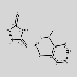 CN(C)c1ccccc1CS/C=C1/N=CC(=O)N1